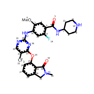 COc1cc(C(=O)NC2CCNCC2)c(F)cc1Nc1ncc(C(F)(F)F)c(Oc2cccc3c2C(=O)N(C)C3)n1